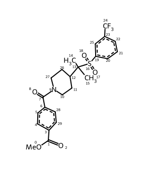 COC(=O)c1ccc(C(=O)N2CCC(C(C)(C)S(=O)(=O)c3cccc(C(F)(F)F)c3)CC2)cc1